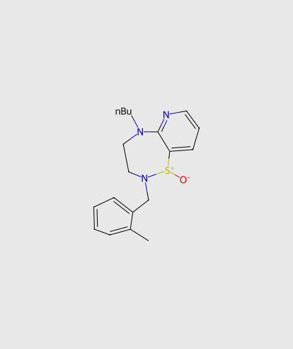 CCCCN1CCN(Cc2ccccc2C)[S+]([O-])c2cccnc21